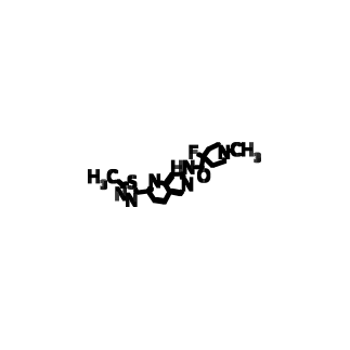 Cc1nnc(-c2ccc3cnc(NC(=O)C4(F)CCN(C)CC4)cc3n2)s1